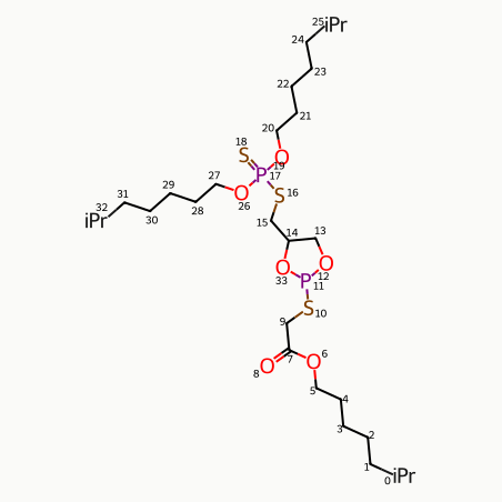 CC(C)CCCCCOC(=O)CSP1OCC(CSP(=S)(OCCCCCC(C)C)OCCCCCC(C)C)O1